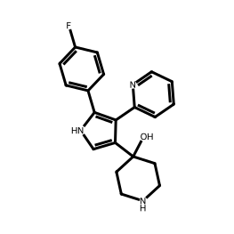 OC1(c2c[nH]c(-c3ccc(F)cc3)c2-c2ccccn2)CCNCC1